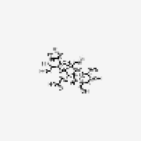 CC(CO)C(OC1OC(CN=O)C(OC2OC(CO)CC(O)C2N=O)C(N=O)C1OCC(=O)O)C(O)C(CO)N=O